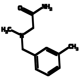 Cc1cccc(CN(C)CC(N)=O)c1